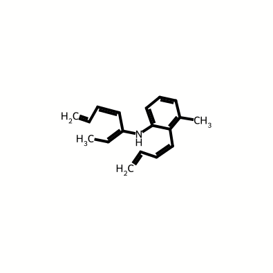 C=C/C=C\C(=C/C)Nc1cccc(C)c1/C=C\C=C